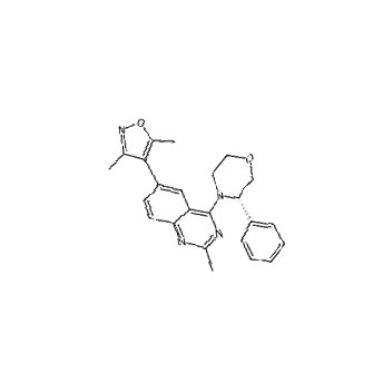 Cc1nc(N2CCOC[C@@H]2c2ccccc2)c2cc(-c3c(C)noc3C)ccc2n1